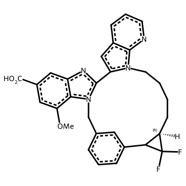 COc1cc(C(=O)O)cc2nc3n(c12)Cc1cccc(c1)C1[C@@H](CCCCn2c-3cc3cccnc32)C1(F)F